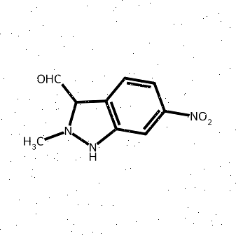 CN1Nc2cc([N+](=O)[O-])ccc2C1C=O